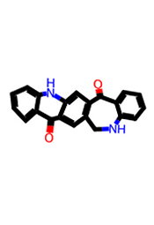 O=C1c2cc3[nH]c4ccccc4c(=O)c3cc2CNc2ccccc21